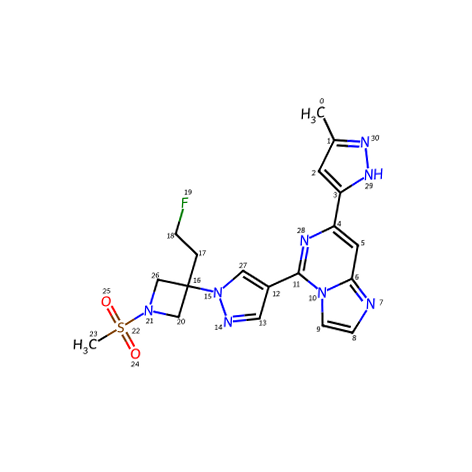 Cc1cc(-c2cc3nccn3c(-c3cnn(C4(CCF)CN(S(C)(=O)=O)C4)c3)n2)[nH]n1